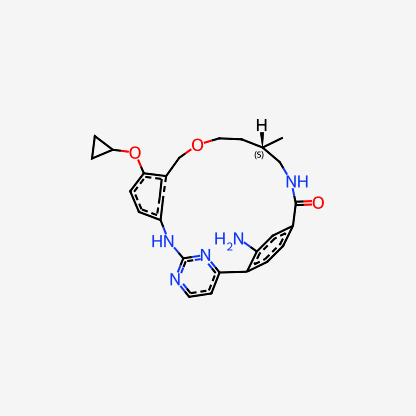 C[C@H]1CCOCc2cc(ccc2OC2CC2)Nc2nccc(n2)-c2ccc(cc2N)C(=O)NC1